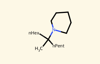 CCCCCCC(C)(CCCCC)N1CCCCC1